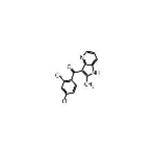 Cc1[nH]c2cccnc2c1C(=O)c1ccc(Cl)cc1Cl